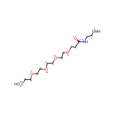 COCCNC(=O)CCOCCOCCOCCOCCC(=O)O